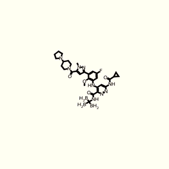 BC(B)(B)NC(=O)c1nnc(NC(=O)C2CC2)cc1Nc1cc(F)cc(-c2cc(C(=O)N3CCC(N4CCCC4)CC3)n(C)n2)c1OC